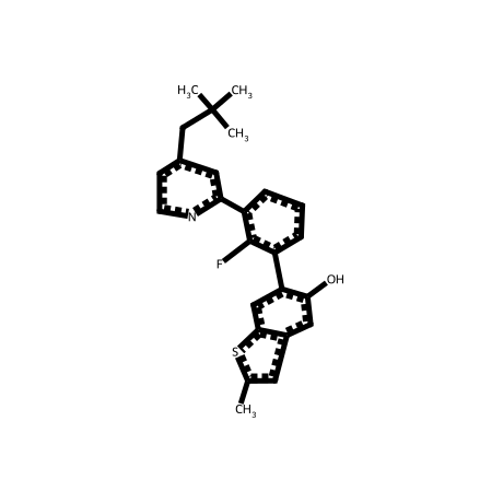 Cc1cc2cc(O)c(-c3cccc(-c4cc(CC(C)(C)C)ccn4)c3F)cc2s1